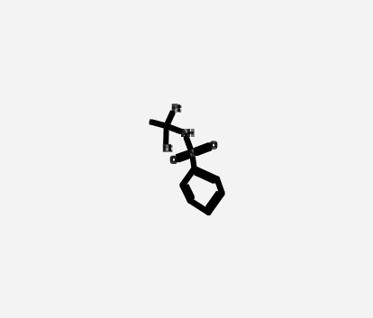 CCC(C)(CC)NS(=O)(=O)c1ccccc1